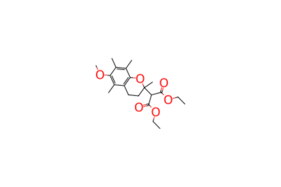 CCOC(=O)C(C(=O)OCC)C1(C)CCc2c(C)c(OC)c(C)c(C)c2O1